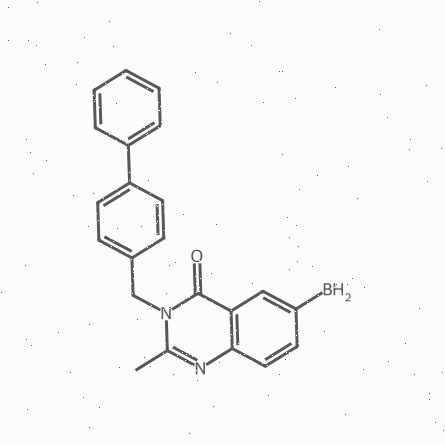 Bc1ccc2nc(C)n(Cc3ccc(-c4ccccc4)cc3)c(=O)c2c1